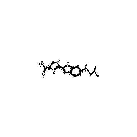 CC(C)CNc1ccc2nc(C3=N[C@@H](C(N)=O)CS3)sc2c1